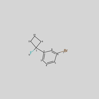 FC1(c2cccc(Br)c2)CCC1